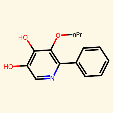 CCCOc1c(-c2ccccc2)n[c]c(O)c1O